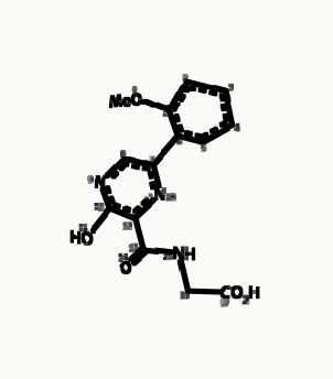 COc1ccccc1-c1cnc(O)c(C(=O)NCC(=O)O)n1